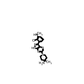 CNc1cccc(-c2n[nH]c3nc(N4CCC(C)(N)CC4)cnc23)c1Cl